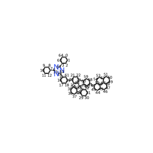 c1ccc(-c2nc(-c3ccccc3)nc(-c3cccc(-c4ccc5c(c4)C(c4ccccc4)(c4ccccc4)c4cc(-c6ccc7ccc8cccc9ccc6c7c89)ccc4-5)c3)n2)cc1